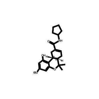 CC(C)(C)c1cc(O)c2c(c1)OC(C)(C)[C@@H]1CC=C(C(=O)NC3CCCC3)C[C@@H]21